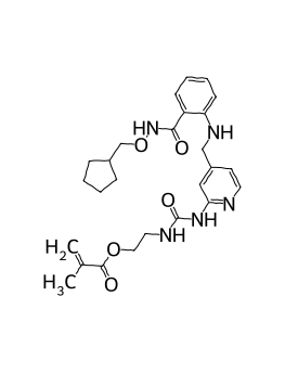 C=C(C)C(=O)OCCNC(=O)Nc1cc(CNc2ccccc2C(=O)NOCC2CCCC2)ccn1